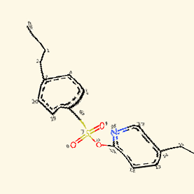 CCCc1ccc(S(=O)(=O)Oc2ccc(CC)cn2)cc1